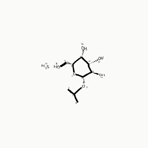 CC(C)O[C@@H]1O[C@H](CO)[C@H](O)[C@H](O)[C@H]1O.S